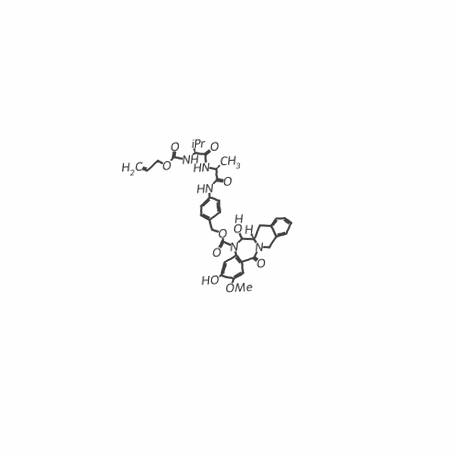 C=CCOC(=O)N[C@H](C(=O)N[C@@H](C)C(=O)Nc1ccc(COC(=O)N2c3cc(O)c(OC)cc3C(=O)N3Cc4ccccc4C[C@H]3C2O)cc1)C(C)C